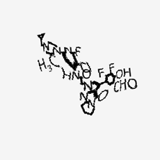 CC1CN(CC2CC2)CCN1c1cc(NC(=O)Cn2cc(-c3cc(C=O)c(O)c(F)c3F)c3c(=O)n4c(nc32)CCCC4)c(Cl)c(F)n1